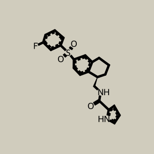 O=C(NC[C@@H]1CCCc2cc(S(=O)(=O)c3cccc(F)c3)ccc21)c1ccc[nH]1